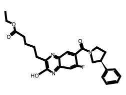 CCOC(=O)CCCCc1nc2cc(C(=O)N3CC[C@@H](c4ccccc4)C3)c(F)cc2nc1O